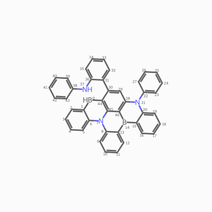 B1c2ccccc2N2c3ccccc3B3c4ccccc4N(c4ccccc4)c4cc(-c5ccccc5Nc5ccccc5)c1c2c43